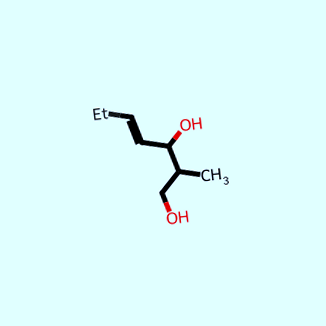 [CH2]CC=CC(O)C(C)CO